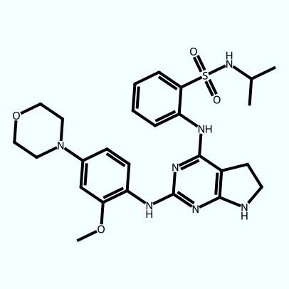 COc1cc(N2CCOCC2)ccc1Nc1nc2c(c(Nc3ccccc3S(=O)(=O)NC(C)C)n1)CCN2